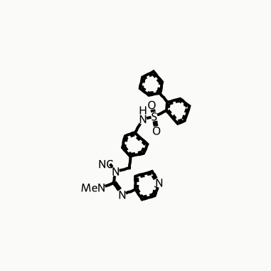 CNC(=Nc1ccncc1)N(C#N)Cc1ccc(NS(=O)(=O)c2ccccc2-c2ccccc2)cc1